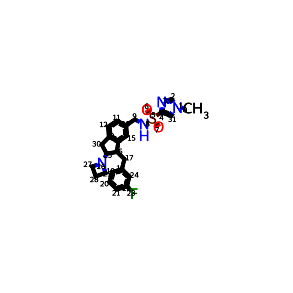 Cn1cnc(S(=O)(=O)NCc2ccc3c(c2)C(Cc2cccc(F)c2)C(N2CCC2)C3)c1